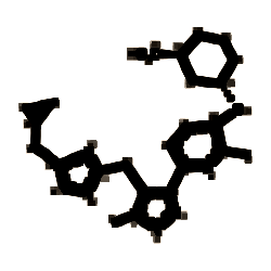 Cc1nc(-c2nnn(C)c2Cc2nnn(CC3CC3)n2)ccc1O[C@H]1CCC[C@H](C(=O)O)C1